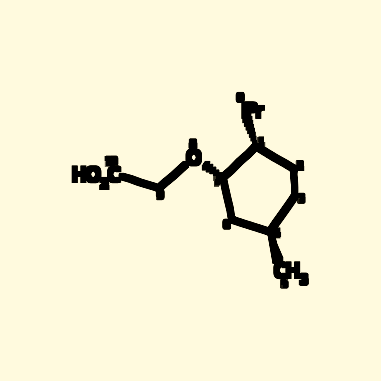 CC(C)[C@@H]1CC[C@@H](C)C[C@@H]1OCC(=O)O